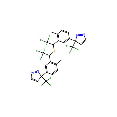 Cc1ccc(C2(C(F)(F)F)C=CN=N2)cc1C(SC(c1cc(C2(C(F)(F)F)C=CN=N2)ccc1C)C(F)(F)F)C(F)(F)F